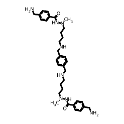 CN(CCCCNCc1ccc(CNCCCCN(C)NC(=O)c2ccc(CN)cc2)cc1)NC(=O)c1ccc(CN)cc1